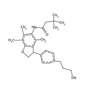 Cc1c(C)c2c(c(C)c1NC(=O)CC(C)(C)C)C(c1ccc(CCCO)cc1)CO2